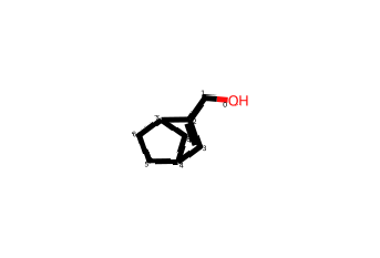 OCC1=CC2CCC1C2